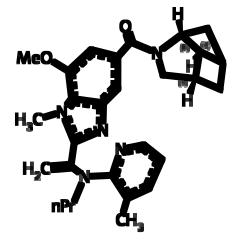 C=C(c1nc2cc(C(=O)N3C[C@H]4CC5C[C@@H]3[C@H]54)cc(OC)c2n1C)N(CCC)c1ncccc1C